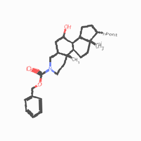 CCCCCC1CCC2C3C(O)CC4CN(C(=O)OCc5ccccc5)CCC4(C)C3CCC12C